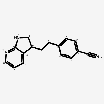 N#Cc1ccc(CCC2CNc3ncccc32)cc1